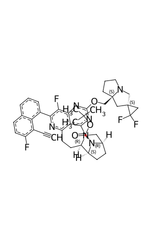 C#Cc1c(F)ccc2cccc(-c3nc4c5c(nc(OC[C@@]67CCCN6C[C@@]6(CC6(F)F)C7)nc5c3F)N3C[C@H]5CC[C@@H]([C@H]3CC4)N5C(=O)OC(C)(C)C)c12